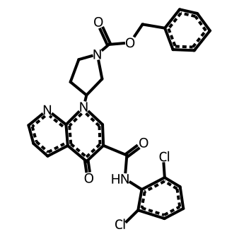 O=C(Nc1c(Cl)cccc1Cl)c1cn(C2CCN(C(=O)OCc3ccccc3)C2)c2ncccc2c1=O